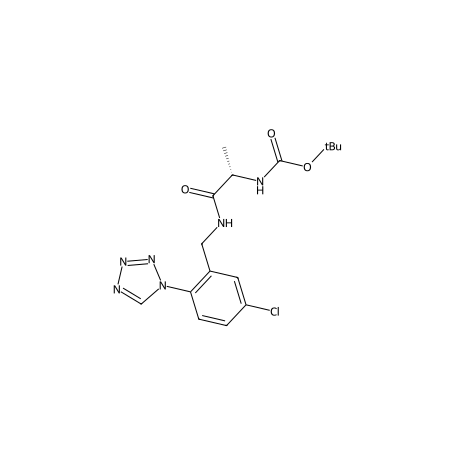 C[C@H](NC(=O)OC(C)(C)C)C(=O)NCc1cc(Cl)ccc1-n1cnnn1